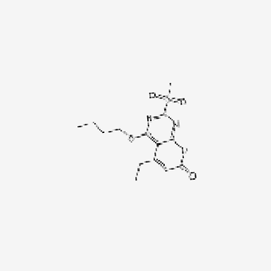 CCCCOc1nc(S(C)(=O)=O)nc2oc(=O)cc(CC)c12